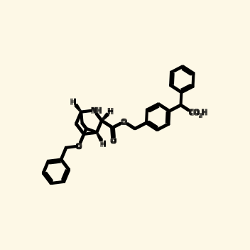 O=C(O)C(c1ccccc1)c1ccc(COC(=O)[C@H]2N[C@H]3CC[C@@H]2C(OCc2ccccc2)C3)cc1